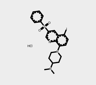 CN(C)C1CCN(c2ccc(I)c3cc(S(=O)(=O)c4ccccc4)cnc23)CC1.Cl